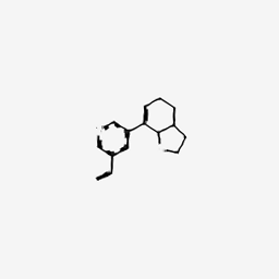 C=Cc1cncc(C2=CCCC3CCNC23)c1